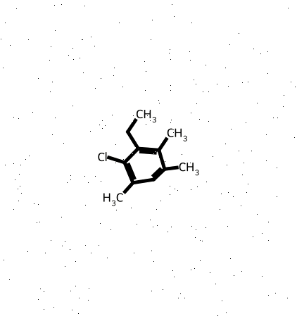 CCc1c(C)c(C)cc(C)c1Cl